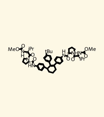 COC(=O)N[C@H](C(=O)N1CCC[C@H]1C(=O)Nc1ccc(C2=C(c3ccc(C(C)(C)C)cc3)C(c3ccc(NC(=O)[C@@H]4CCCN4C(=O)[C@@H](NC(=O)OC)C(C)C)cc3)CCC2)cc1)C(C)C